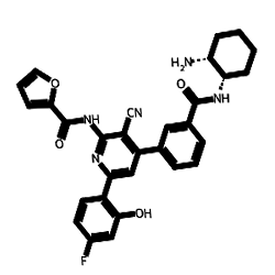 N#Cc1c(-c2cccc(C(=O)N[C@H]3CCCC[C@H]3N)c2)cc(-c2ccc(F)cc2O)nc1NC(=O)c1ccco1